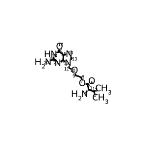 CC(C)[C@H](N)C(=O)OCCOCN1C=NC2C(=O)NC(N)=NC21